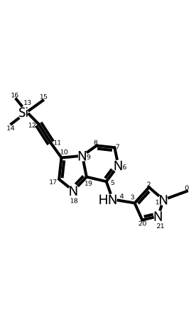 Cn1cc(Nc2nccn3c(C#C[Si](C)(C)C)cnc23)cn1